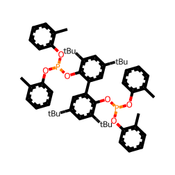 Cc1ccccc1OP(Oc1ccccc1C)Oc1c(-c2cc(C(C)(C)C)cc(C(C)(C)C)c2OP(Oc2ccccc2C)Oc2ccccc2C)cc(C(C)(C)C)cc1C(C)(C)C